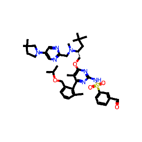 Cc1cccc(COC(C)C)c1-c1nc(NS(=O)(=O)c2cccc(C=O)c2)nc(OC[C@@H](CC(C)(C)C)N(C)Cc2ncc(N3CCC(C)(C)C3)cn2)c1C